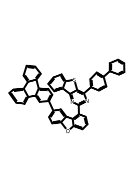 c1ccc(-c2ccc(-c3nc(-c4cccc5oc6ccc(-c7ccc8c9ccccc9c9ccccc9c8c7)cc6c45)nc4c3sc3ccccc34)cc2)cc1